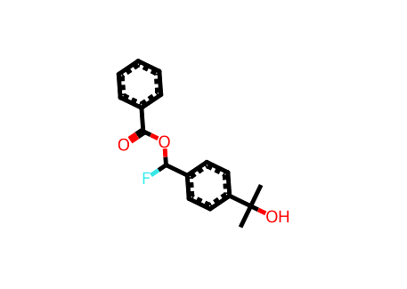 CC(C)(O)c1ccc(C(F)OC(=O)c2ccccc2)cc1